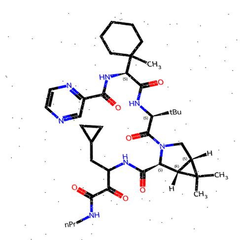 CCCNC(=O)C(=O)C(CC1CC1)NC(=O)[C@@H]1[C@@H]2[C@H](CN1C(=O)[C@@H](NC(=O)[C@@H](NC(=O)c1cnccn1)C1(C)CCCCC1)C(C)(C)C)C2(C)C